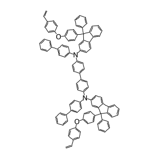 C=Cc1ccc(Oc2ccc(C3(c4ccccc4)c4ccccc4-c4ccc(N(c5ccc(-c6ccccc6)cc5)c5ccc(-c6ccc(N(c7ccc(-c8ccccc8)cc7)c7ccc8c(c7)C(c7ccccc7)(c7ccc(Oc9ccc(C=C)cc9)cc7)c7ccccc7-8)cc6)cc5)cc43)cc2)cc1